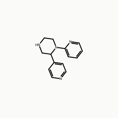 c1ccc(N2CCNCC2c2ccncc2)nc1